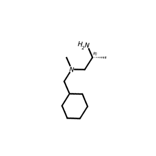 C[C@@H](N)CN(C)CC1CCCCC1